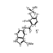 CCCS(=O)(=O)[N-]c1c(F)ccc(C(=O)Nc2cnc3[nH]nc(OC)c3c2)c1F.[K+]